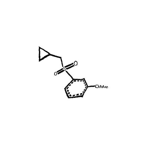 COc1cccc(S(=O)(=O)CC2CC2)c1